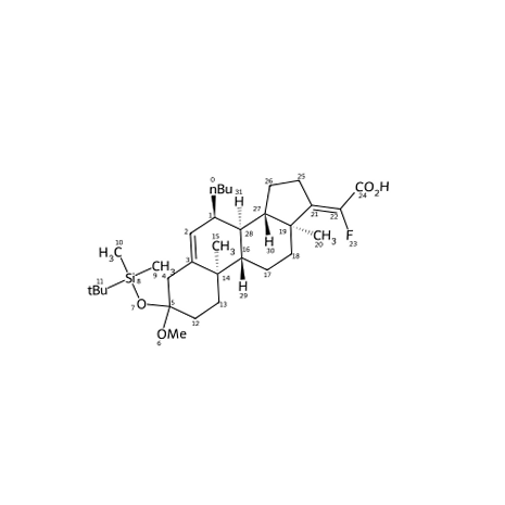 CCCC[C@@H]1C=C2CC(OC)(O[Si](C)(C)C(C)(C)C)CC[C@]2(C)[C@H]2CC[C@]3(C)C(=C(F)C(=O)O)CC[C@H]3[C@H]12